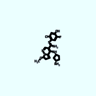 COC1CC=C2C(N[C@@H]3CC[C@H](N)C3)=C(/C(N)=N/c3cc(F)c(O)cc3Cl)C=NN21